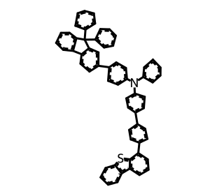 c1ccc(N(c2ccc(-c3ccc(-c4cccc5c4sc4ccccc45)cc3)cc2)c2ccc(-c3ccc4c(c3)C(c3ccccc3)(c3ccccc3)c3ccccc3-4)cc2)cc1